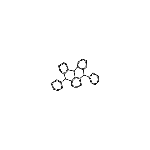 c1cc[n+](C2c3ccccc3B3c4ccccc4C([n+]4ccccc4)c4cccc2c43)cc1